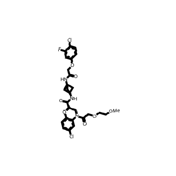 COCCOCC(=O)N1CC(C(=O)NC23CC(NC(=O)COc4ccc(Cl)c(F)c4)(C2)C3)Oc2ccc(Cl)cc21